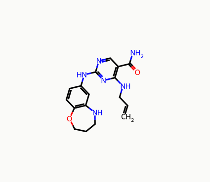 C=CCNc1nc(Nc2ccc3c(c2)NCCCO3)ncc1C(N)=O